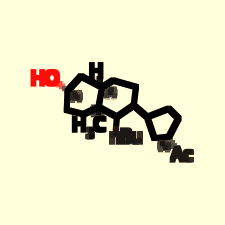 CCCCC1C(C2CC[C@H](C(C)=O)C2)CC[C@@H]2C[C@@H](O)CC[C@]12C